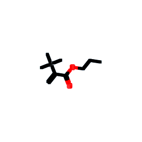 C=C(C(=O)OCCC)[Si](C)(C)C